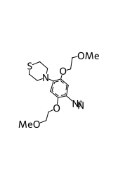 COCCOc1cc(N2CCSCC2)c(OCCOC)cc1[N+]#N